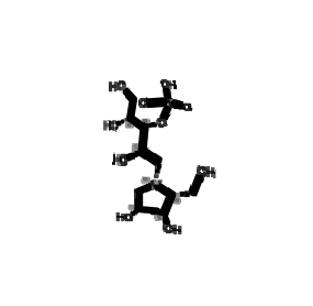 O=S(=O)(O)O[C@@H]([C@H](O)CO)[C@H](O)C[S@@+]1C[C@@H](O)[C@H](O)[C@H]1CO